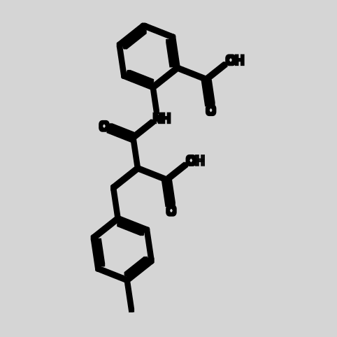 Cc1ccc(CC(C(=O)O)C(=O)Nc2ccccc2C(=O)O)cc1